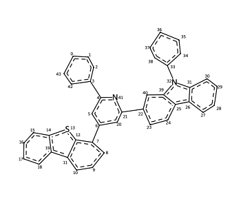 c1ccc(-c2cc(-c3cccc4c3sc3ccccc34)cc(-c3ccc4c5ccccc5n(-c5ccccc5)c4c3)n2)cc1